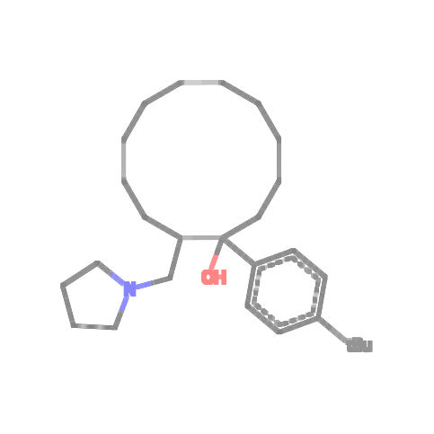 CC(C)(C)c1ccc(C2(O)CCCCCCCCCCC2CN2CCCC2)cc1